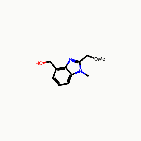 COCc1nc2c(CO)cccc2n1C